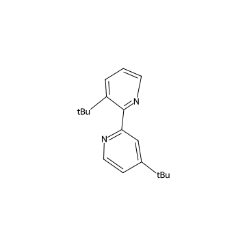 CC(C)(C)c1ccnc(-c2ncccc2C(C)(C)C)c1